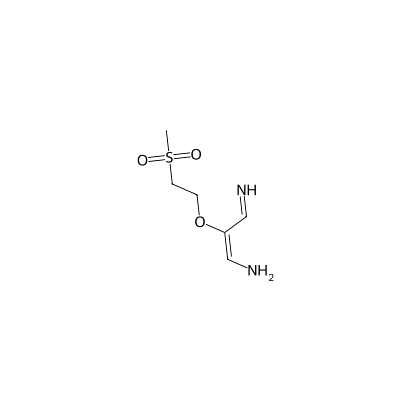 CS(=O)(=O)CCO/C(C=N)=C/N